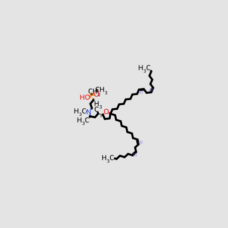 C=P(O)(CCCN(C)C(C)CC(C)[C@H]1CCC(CCCCCCCC/C=C\C/C=C\CCCCC)(CCCCCCCC/C=C\C/C=C\CCCCC)O1)OC